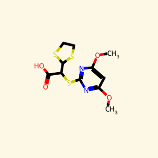 COc1cc(OC)nc(SC(C(=O)O)C2SCCS2)n1